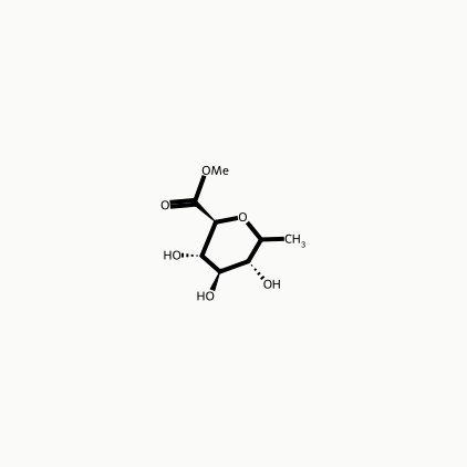 COC(=O)[C@H]1OC(C)[C@H](O)[C@@H](O)[C@@H]1O